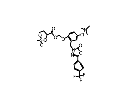 CCC(OS(C)(=O)=O)C(=O)OCOc1ccc(Cl)cc1Cn1nc(-c2ccc(C(F)(F)F)cc2)oc1=O.CN(C)C